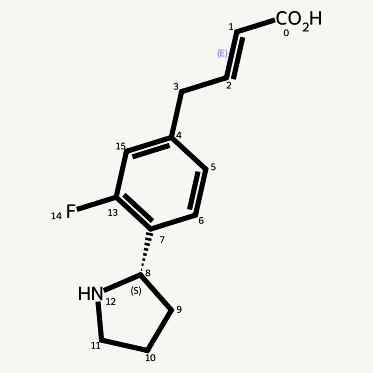 O=C(O)/C=C/Cc1ccc([C@@H]2CCCN2)c(F)c1